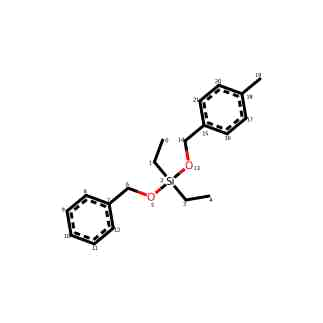 CC[Si](CC)(OCc1ccccc1)OCc1ccc(C)cc1